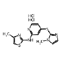 Cc1csc(Nc2cc(Sc3nccn3C)ccn2)n1.Cl.Cl